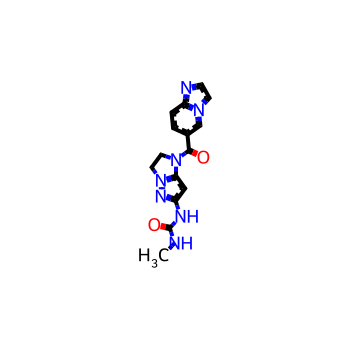 CNC(=O)Nc1cc2n(n1)CCN2C(=O)c1ccc2nccn2c1